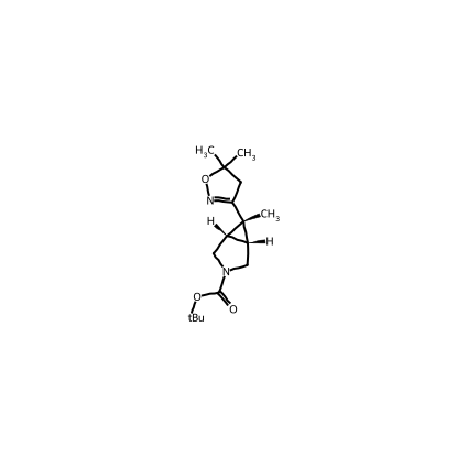 CC(C)(C)OC(=O)N1C[C@@H]2[C@H](C1)[C@]2(C)C1=NOC(C)(C)C1